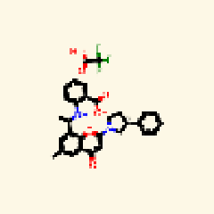 Cc1cc(C(C)Nc2ccccc2C(=O)O)c2oc(N3CC[C@@H](c4ccccc4)C3)cc(=O)c2c1.O=C(O)C(F)(F)F